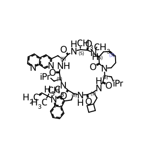 C=CC(C)(C)n1cc(C[C@@H]2NC(=O)[C@H](CC3CCC3)NC(=O)[C@H](CC(C)C)N3CC/C=C\C[C@@H](C3=O)N(C)C(=O)[C@H](C)NC(=O)[C@H](Cc3cc4cccnc4cn3)NC(=O)[C@H](CC(C)C)N(C)C2=O)c2ccccc21